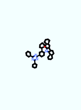 c1ccc(-c2nc(-c3ccccc3)nc(-c3ccc(-n4c5cc6ccccc6cc5c5ccc6ccccc6c54)c(-c4ccccc4)c3)n2)cc1